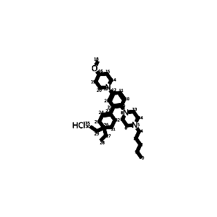 CCCCCN1CCN(c2ccc(N3CCC(OC)CC3)cc2C2=CCC(CC)(CC)CC2)CC1.Cl